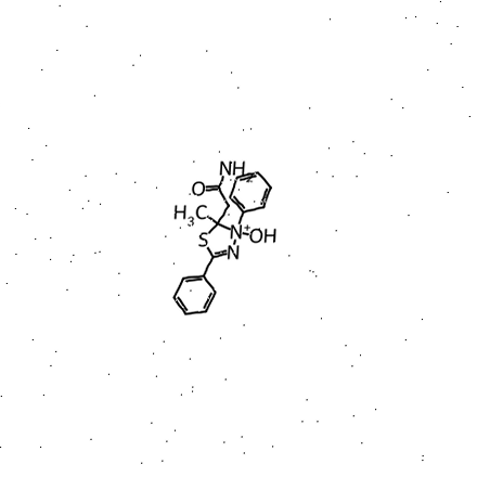 CC1(CC(N)=O)SC(c2ccccc2)=N[N+]1(O)c1ccccc1